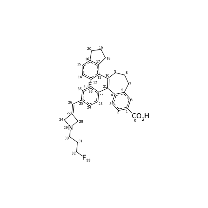 O=C(O)c1ccc2c(c1)CCCC(c1c(F)ccc3c1CCC3)=C2c1ccc(C=C2CN(CCCF)C2)cc1